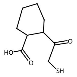 O=C(O)C1CCCCC1C(=O)CS